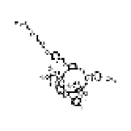 COCCOCCOCCOc1ccc(COc2ccc3cc2C[C@H](C(=O)OC(C)(C)C)Oc2ncnc4sc(-c5ccc(F)cc5)c(c24)-c2c(C)c(Cl)c(c(Cl)c2C)O[C@H](CN2CCN(C)CC2)CO3)nc1